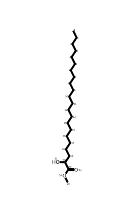 CCCCCCCCCCCCCCCCCCCCC(O)C(=O)OC